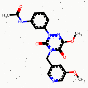 COc1cncc(Cn2c(=O)c(OC)nn(-c3cccc(NC(C)=O)c3)c2=O)c1